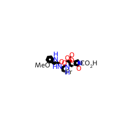 COc1cccc2[nH]c(C(=O)NC(CC(C)C)C(=O)NC(C[C@@H]3CCN(C(=O)O)C3=O)c3coc(=O)o3)cc12